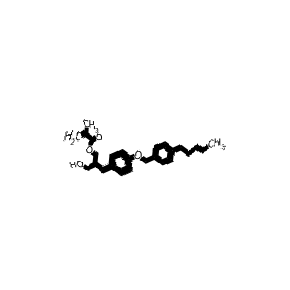 C=C(C)C(=O)OCC(CO)Cc1ccc(OCc2ccc(CCCCC)cc2)cc1